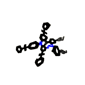 CC(C)(C)c1cccc(N2c3cc(C(C)(C)C)ccc3B3c4cc(C(C)(C)c5ccccc5)ccc4N(c4ccc(C(C)(C)c5ccccc5)cc4)c4cc(C(C)(C)c5ccccc5)cc2c43)c1